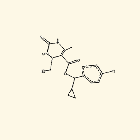 CC1=C(C(=O)OC(c2ccc(Cl)cc2)C2CC2)C(CO)NC(=S)N1